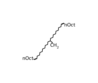 C=CC(CCCCCCCC/C=C\CCCCCCCC)CCCCCCCCC/C=C\CCCCCCCC